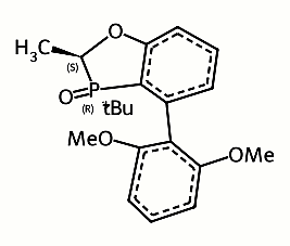 COc1cccc(OC)c1-c1cccc2c1[P@](=O)(C(C)(C)C)[C@@H](C)O2